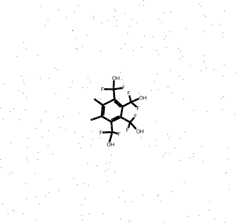 Cc1c(C)c(C(O)(F)F)c(C(O)(F)F)c(C(O)(F)F)c1C(O)(F)F